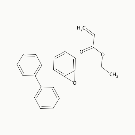 C=CC(=O)OCC.c1ccc(-c2ccccc2)cc1.c1ccc2c(c1)O2